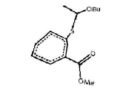 COC(=O)c1ccccc1SC(C)OCC(C)C